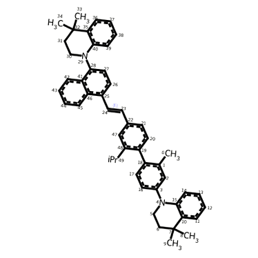 Cc1cc(N2CCC(C)(C)c3ccccc32)ccc1-c1ccc(/C=C/c2ccc(N3CCC(C)(C)c4ccccc43)c3ccccc23)cc1C(C)C